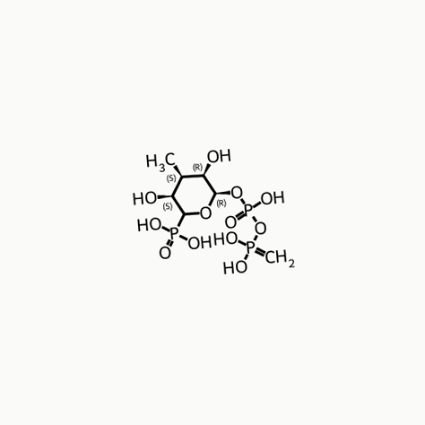 C=P(O)(O)OP(=O)(O)O[C@H]1OC(P(=O)(O)O)[C@@H](O)[C@@H](C)[C@H]1O